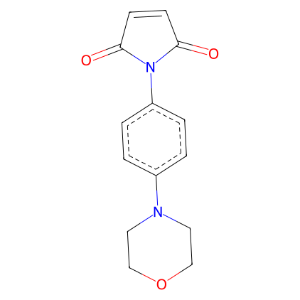 O=C1C=CC(=O)N1c1ccc(N2CCOCC2)cc1